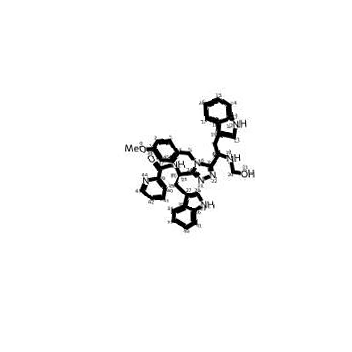 COc1ccc(Cn2c(C(Cc3c[nH]c4ccccc34)NCO)nnc2[C@@H](Cc2c[nH]c3ccccc23)NC(=O)c2ccccn2)cc1